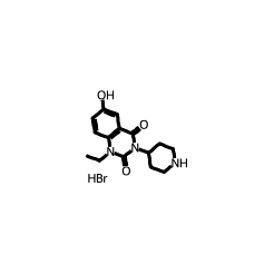 Br.CCn1c(=O)n(C2CCNCC2)c(=O)c2cc(O)ccc21